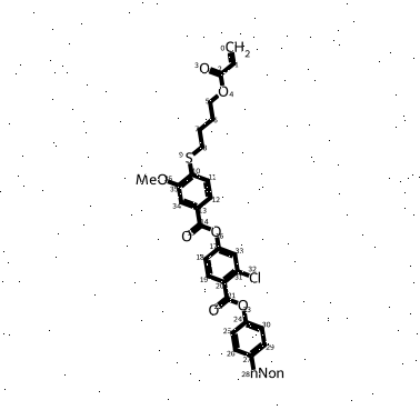 C=CC(=O)OCCCCSc1ccc(C(=O)Oc2ccc(C(=O)Oc3ccc(CCCCCCCCC)cc3)c(Cl)c2)cc1OC